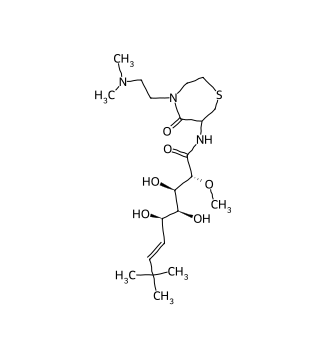 CO[C@@H](C(=O)NC1CSCCN(CCN(C)C)C1=O)[C@H](O)[C@@H](O)[C@H](O)/C=C/C(C)(C)C